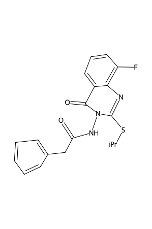 CC(C)Sc1nc2c(F)cccc2c(=O)n1NC(=O)Cc1ccccc1